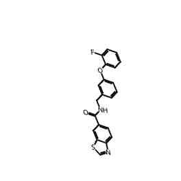 O=C(NCc1cccc(Oc2ccccc2F)c1)c1ccc2ncsc2c1